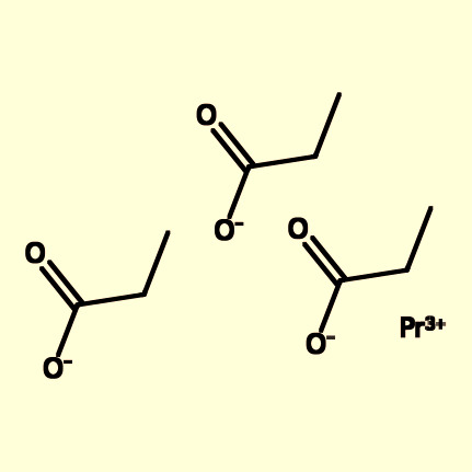 CCC(=O)[O-].CCC(=O)[O-].CCC(=O)[O-].[Pr+3]